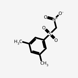 Cc1cc(C)cc(S(=O)(=O)C[N+](=O)[O-])c1